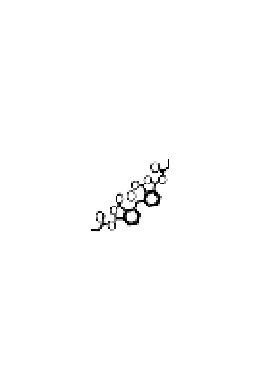 CCC(=O)OC1OC(=O)c2c(C(=O)c3cccc4c3C(=O)OC4OC(=O)CC)cccc21